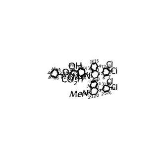 CN[C@H]1CC[C@@H](c2ccc(Cl)c(Cl)c2)c2ccccc21.CN[C@H]1CC[C@@H](c2ccc(Cl)c(Cl)c2)c2ccccc21.O=C(OC(C(=O)O)c1ccccc1)C(O)c1ccccc1